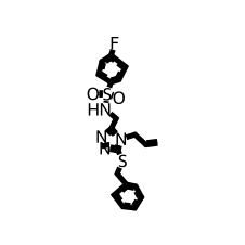 C=CCn1c(CNS(=O)(=O)c2ccc(F)cc2)nnc1SCc1ccccc1